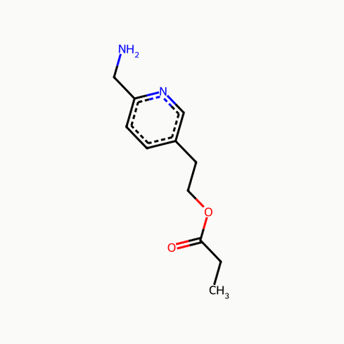 CCC(=O)OCCc1ccc(CN)nc1